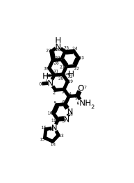 CN1CC(C(C(N)=O)c2ccc(N3CCCC3)nn2)C[C@@H]2c3cccc4[nH]cc(c34)C[C@H]21